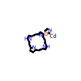 C1=Cc2cc3ccc(cc4nc(cc5ccc(cc1n2)[nH]5)C=C4)[nH]3.[Cd][c]1ncco1